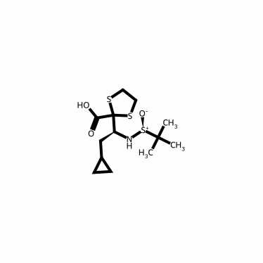 CC(C)(C)[S@+]([O-])N[C@@H](CC1CC1)C1(C(=O)O)SCCS1